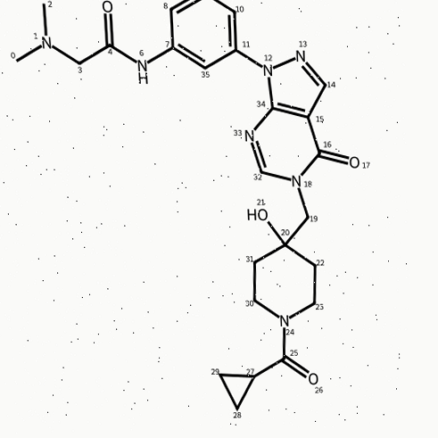 CN(C)CC(=O)Nc1cccc(-n2ncc3c(=O)n(CC4(O)CCN(C(=O)C5CC5)CC4)cnc32)c1